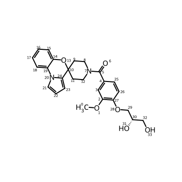 COc1cc(C(=O)N2CCC3(CC2)Oc2ccccc2-n2cccc23)ccc1OC[C@@H](O)CO